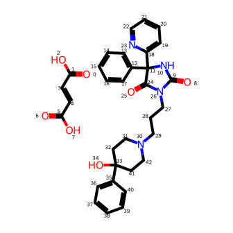 O=C(O)C=CC(=O)O.O=C1NC(c2ccccc2)(c2ccccn2)C(=O)N1CCCN1CCC(O)(c2ccccc2)CC1